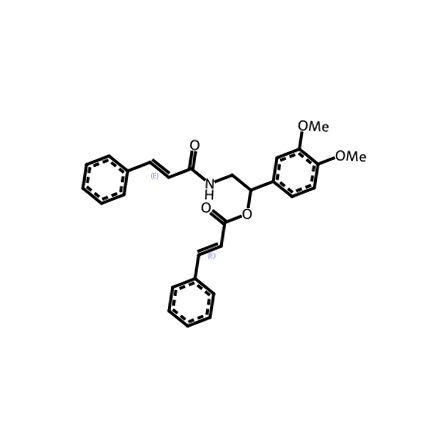 COc1ccc(C(CNC(=O)/C=C/c2ccccc2)OC(=O)/C=C/c2ccccc2)cc1OC